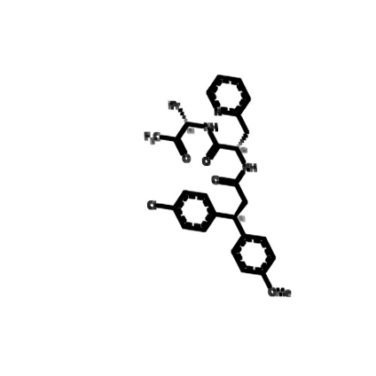 COc1ccc([C@H](CC(=O)N[C@@H](Cc2ccccn2)C(=O)N[C@H](C(=O)C(F)(F)F)C(C)C)c2ccc(Cl)cc2)cc1